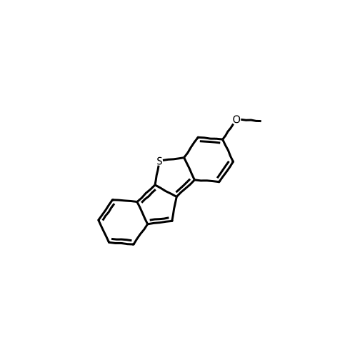 COC1=CC2SC3=c4ccccc4=CC3=C2C=C1